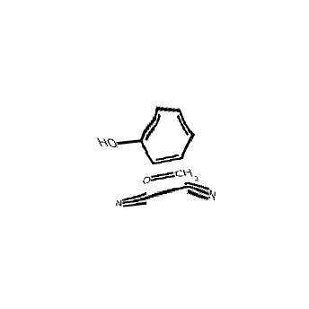 C=O.N#CC#N.Oc1ccccc1